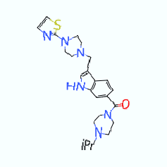 CC(C)N1CCN(C(=O)c2ccc3c(CN4CCN(c5nccs5)CC4)c[nH]c3c2)CC1